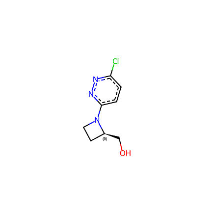 OC[C@H]1CCN1c1ccc(Cl)nn1